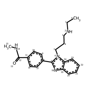 CCNCCCn1c(-c2ccc(C(=O)NC)cc2)nc2ccccc21